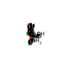 C=C(C)[C@@H]1CC[C@]2(C)CC[C@]3(C)[C@H](CC[C@@H]4[C@@]5(C)CC[C@](CCC[N+]6(C(N)=O)CCN(C)CC6)(OC(=O)CC(C)CC(=O)O)C(C)(C)[C@@H]5CC[C@]43C)[C@@H]12